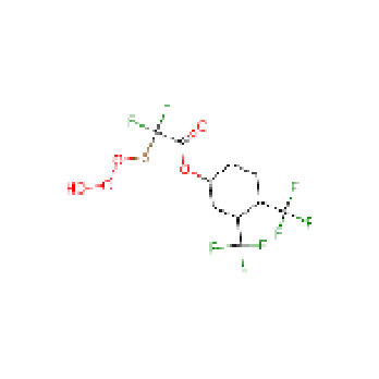 O=C(OC1CCC(C(F)(F)F)C(C(F)(F)F)C1)C(F)(F)SOOO